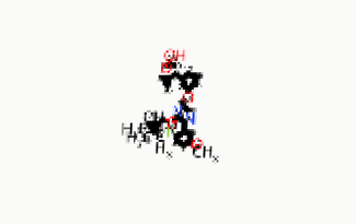 COc1ccc(F)c(-c2ncc(COc3cccc([C@@H](CC(=O)O)C4CC4)c3)nc2OCC2C(C)(C)C2(C)C)c1